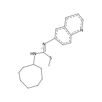 CS/C(=N\c1ccc2ncccc2c1)NC1CCCCCCC1